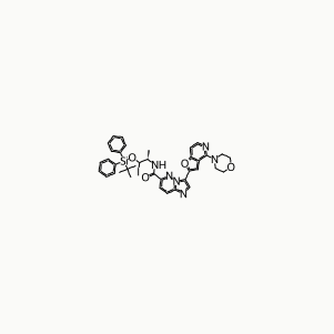 C[C@@H](NC(=O)c1ccc2ncc(-c3cc4c(N5CCOCC5)nccc4o3)n2n1)C(I)O[Si](c1ccccc1)(c1ccccc1)C(C)(C)C